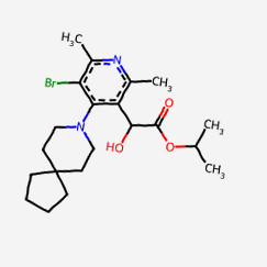 Cc1nc(C)c(C(O)C(=O)OC(C)C)c(N2CCC3(CCCC3)CC2)c1Br